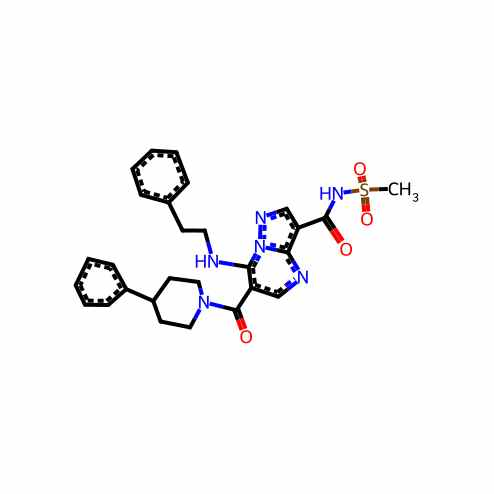 CS(=O)(=O)NC(=O)c1cnn2c(NCCc3ccccc3)c(C(=O)N3CCC(c4ccccc4)CC3)cnc12